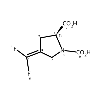 O=C(O)[C@@H]1CC(=C(F)F)CN1C(=O)O